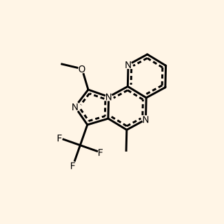 COc1nc(C(F)(F)F)c2c(C)nc3cccnc3n12